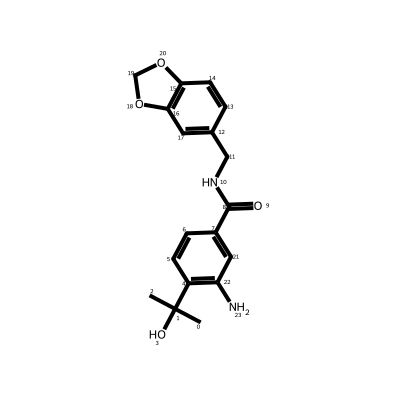 CC(C)(O)c1ccc(C(=O)NCc2ccc3c(c2)OCO3)cc1N